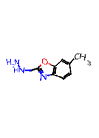 Cc1ccc2nc(NN)oc2c1